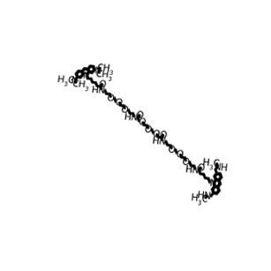 CNCc1ccc2cc3ccc(CNC)cc3[n+](CCCCCC(=O)NCCCOCCOCCOCCCNC(=O)COCCOCCOCC(=O)NCCCOCCOCCOCCCNC(=O)CCCCC[n+]3c4cc(N(C)C)ccc4cc4ccc(N(C)C)cc43)c2c1